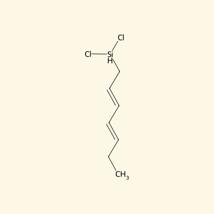 CCC=CC=CC[SiH](Cl)Cl